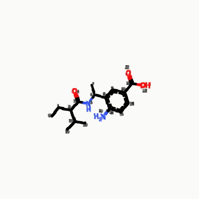 CCC(C(=O)NC(C)c1cc(C(=O)O)ccc1N)C(C)C